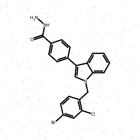 NNC(=O)c1ccc(-c2cn(Cc3ccc(Br)cc3Cl)c3ccccc23)cc1